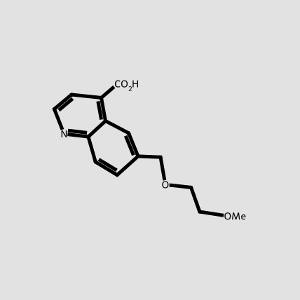 COCCOCc1ccc2nccc(C(=O)O)c2c1